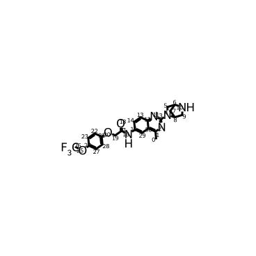 Cc1nc(N2CC3CC2CN3)nc2ccc(NC(=O)COc3ccc(OC(F)(F)F)cc3)cc12